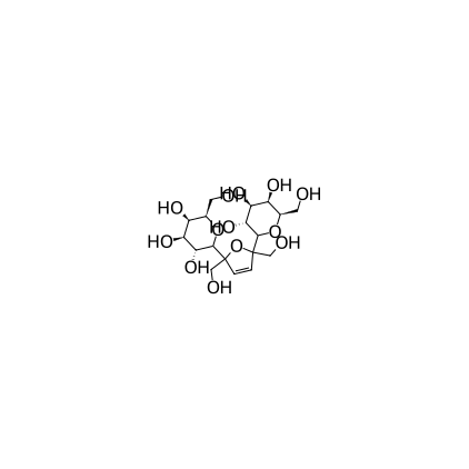 OC[C@H]1OC(C2(CO)C=CC(CO)(C3O[C@H](CO)[C@H](O)[C@H](O)[C@H]3O)O2)[C@H](O)[C@@H](O)[C@H]1O